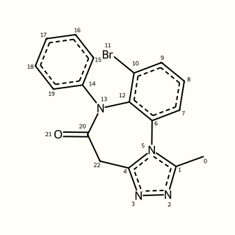 Cc1nnc2n1-c1cccc(Br)c1N(c1ccccc1)C(=O)C2